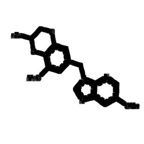 CCCCC1COc2cc(Cn3cnc4cc(OC)cnc43)cc(OC)c2O1